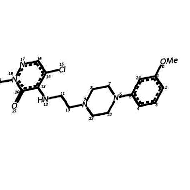 COc1cccc(N2CCN(CCNc3c(Cl)cnn(C)c3=O)CC2)c1